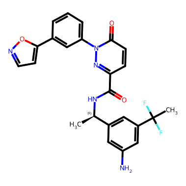 C[C@@H](NC(=O)c1ccc(=O)n(-c2cccc(-c3ccno3)c2)n1)c1cc(N)cc(C(C)(F)F)c1